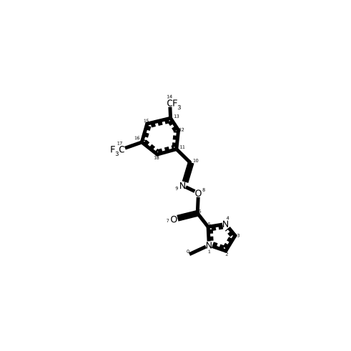 Cn1ccnc1C(=O)ON=Cc1cc(C(F)(F)F)cc(C(F)(F)F)c1